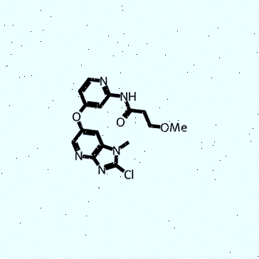 COCCC(=O)Nc1cc(Oc2cnc3nc(Cl)n(C)c3c2)ccn1